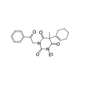 CCN1C(=O)N(CC(=O)c2ccccc2)C(=O)C(C)(C2=CCCCC2)C1=O